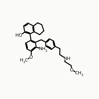 COCCNCCc1ccc(Cc2c(-c3c(O)ccc4c3CCCC4)ccc(OC)c2N)cc1